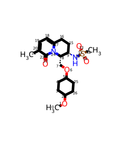 COC1CCC(OC[C@H]2[C@@H](NS(C)(=O)=O)CCc3ccc(C)c(=O)n32)CC1